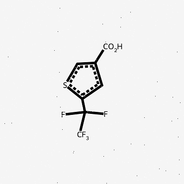 O=C(O)c1csc(C(F)(F)C(F)(F)F)c1